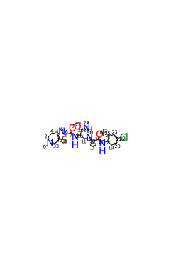 CN1CCc2nc(C(=O)NC(CNC(=S)C(=O)Nc3ccc(Cl)cc3F)C(=O)N(C)C)sc2C1